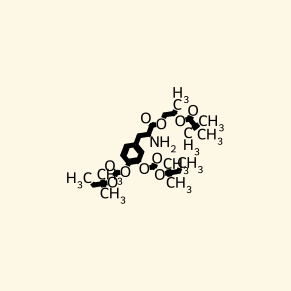 CCC(C)(C)OC(=O)Oc1ccc(C[C@H](N)C(=O)OCC(C)OC(=O)C(C)(C)C)cc1OC(=O)OC(C)(C)CC